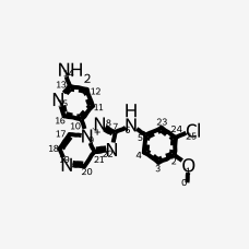 COc1ccc(NC2=N[N+]3(c4ccc(N)nc4)C=CN=CC3=N2)cc1Cl